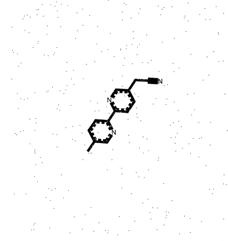 Cc1ccc(-c2ccc(CC#N)cn2)nc1